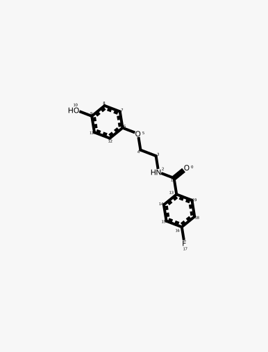 O=C(NCCOc1ccc(O)cc1)c1ccc(F)cc1